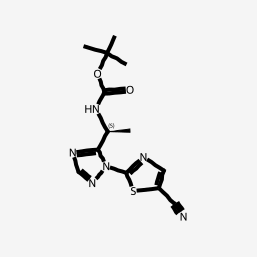 C[C@H](NC(=O)OC(C)(C)C)c1ncnn1-c1ncc(C#N)s1